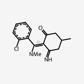 CN/C(=C1\C(=N)CC(C)CC1=O)c1ccccc1Cl